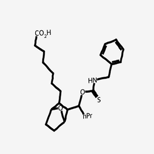 CCCC(OC(=S)NCc1ccccc1)C1C2CCC(O2)C1CCCCCCC(=O)O